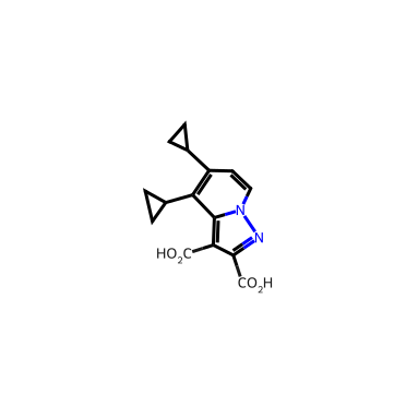 O=C(O)c1nn2ccc(C3CC3)c(C3CC3)c2c1C(=O)O